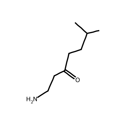 CC(C)CCC(=O)CCN